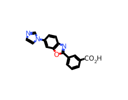 O=C(O)c1cccc(-c2nc3ccc(-n4ccnc4)cc3o2)c1